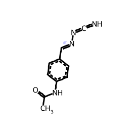 CC(=O)Nc1ccc(/C=N/N=C=N)cc1